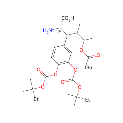 CCC(C)(C)OC(=O)Oc1ccc(C(C(C)C(C)OC(=O)C(C)(C)C)[C@H](N)C(=O)O)cc1OC(=O)OC(C)(C)CC